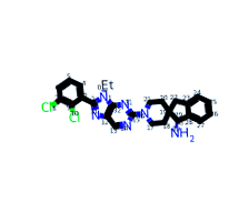 CCn1c(-c2cccc(Cl)c2Cl)nc2cnc(N3CCC4(CC3)Cc3ccccc3[C@H]4N)nc21